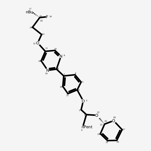 CCCCCC(COc1ccc(-c2ncc(OCC[C@@H](F)CCCC)cn2)cc1)O[C@H]1C=CC=CO1